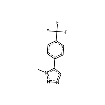 Cn1nncc1-c1ccc(C(F)(F)F)cc1